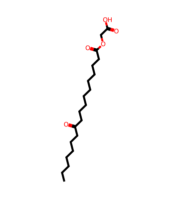 CCCCCCCC(=O)CCCCCCCCCC(=O)OCC(=O)O